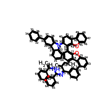 C=C(NC(/N=C(/c1cccc(-c2cccc3oc4c(-c5c(-n6c7ccccc7c7cc(-c8ccccc8)ccc76)ccc6c5oc5ccccc56)cccc4c23)c1)C(C)CC)c1ccccc1)c1ccccc1